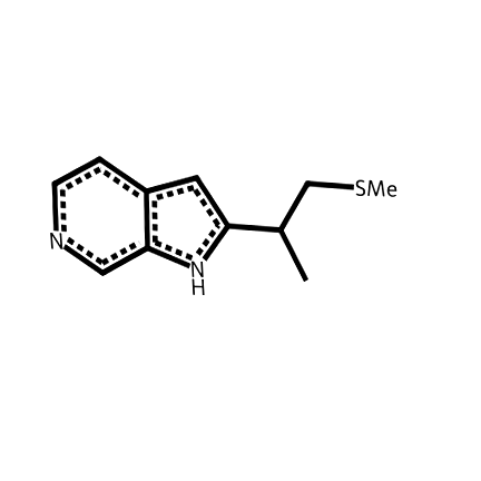 CSCC(C)c1cc2ccncc2[nH]1